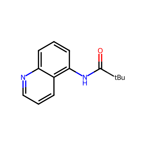 CC(C)(C)C(=O)Nc1cccc2ncccc12